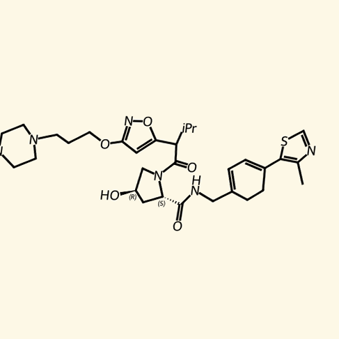 Cc1ncsc1C1=CC=C(CNC(=O)[C@@H]2C[C@@H](O)CN2C(=O)C(c2cc(OCCCN3CCNCC3)no2)C(C)C)CC1